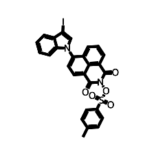 Cc1ccc(S(=O)(=O)ON2C(=O)c3cccc4c(-n5cc(I)c6ccccc65)ccc(c34)C2=O)cc1